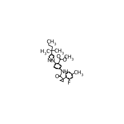 CCCC(C)(C)c1cnn(-c2ccc(NC(=O)C3(c4ccc(C)cc4F)CC3)cc2C(=O)OC)c1